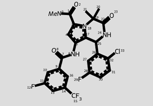 CNC(=O)c1cc(NC(=O)c2cc(F)cc(C(F)(F)F)c2)c2n1C(C)(C)C(=O)NC2c1cc(F)ccc1Cl